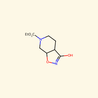 CCOC(=O)N1CCC2C(O)=NOC2C1